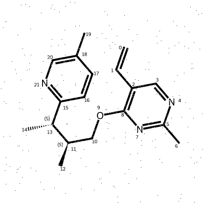 C=Cc1cnc(C)nc1OC[C@@H](C)[C@H](C)c1ccc(C)cn1